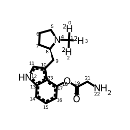 [2H]C([2H])([2H])N1CCC[C@@H]1Cc1c[nH]c2cccc(OC(=O)CN)c12